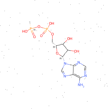 C[P@](=O)(O)OP(=O)(O)OC[C@H]1O[C@@H](n2cnc3c(N)ncnc32)C(O)C1O